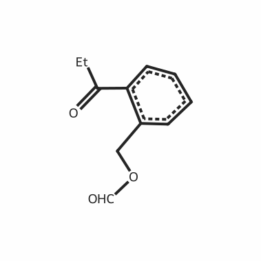 CCC(=O)c1ccccc1COC=O